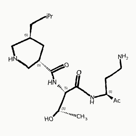 CC(=O)[C@H](CCN)NC(=O)[C@@H](NC(=O)[C@@H]1CNC[C@@H](CC(C)C)C1)[C@H](C)O